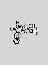 CC(C)(C)OC(=O)N[C@@H](Cn1cccn1)C(=O)O